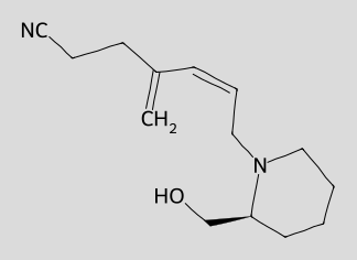 C=C(/C=C\CN1CCCC[C@H]1CO)CCC#N